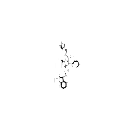 O=C1NC(=NCCc2c[nH]c3ccccc23)C(c2ccccc2F)N1CCCn1ccnc1